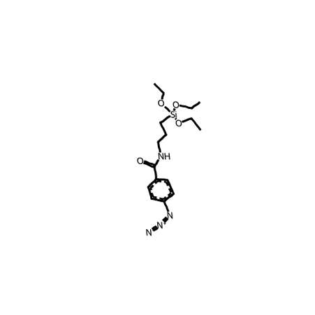 CCO[Si](CCCNC(=O)c1ccc(N=[N+]=[N-])cc1)(OCC)OCC